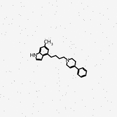 Cc1cc(CCCCN2CC=C(c3ccccc3)CC2)c2cc[nH]c2c1